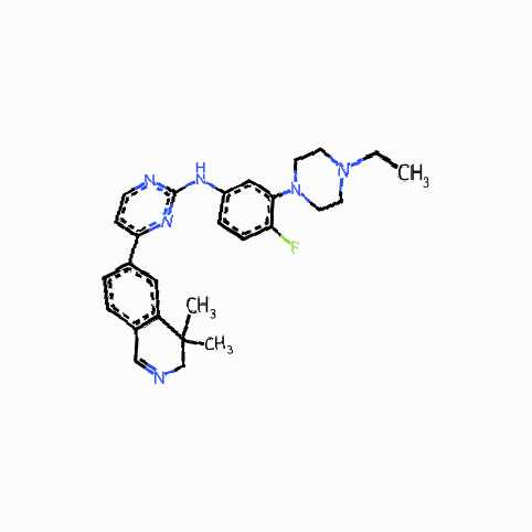 CCN1CCN(c2cc(Nc3nccc(-c4ccc5c(c4)C(C)(C)CN=C5)n3)ccc2F)CC1